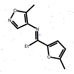 CC/C(=N\c1cnoc1C)c1ccc(C)o1